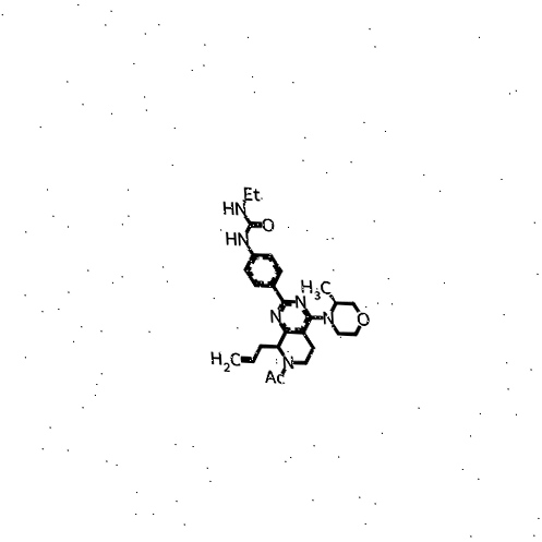 C=CCC1c2nc(-c3ccc(NC(=O)NCC)cc3)nc(N3CCOC[C@@H]3C)c2CCN1C(C)=O